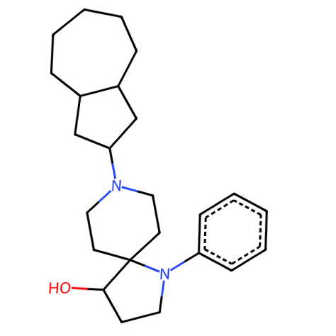 OC1CCN(c2ccccc2)C12CCN(C1CC3CCCCCC3C1)CC2